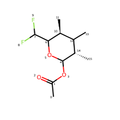 CC(=O)OC1OC(C(F)F)[C@@H](C)C(C)[C@@H]1C